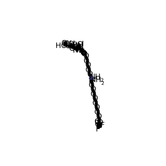 N/C(=C\N(N)CCOCCOCCOCCOCCOCCOCCOCCOCCC(=O)Oc1c(F)cc(F)cc1F)COCCOCCOCCOCCOC1CCC2(CC1)CN(c1nc(Cl)nc3c1cnn3[C@@H]1O[C@H](COCP(=O)(O)O)[C@@H](O)[C@H]1O)C2